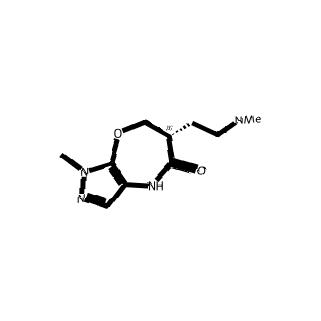 CNCC[C@H]1COc2c(cnn2C)NC1=O